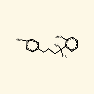 COc1ccccc1C(C)(C)CCOc1ccc(C(C)(C)C)cc1